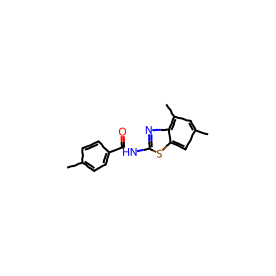 Cc1ccc(C(=O)Nc2nc3c(C)cc(C)cc3s2)cc1